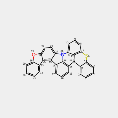 c1ccc2c(c1)Sc1cccc3c1B2c1cccc2c4c5c(ccc4n-3c12)oc1ccccc15